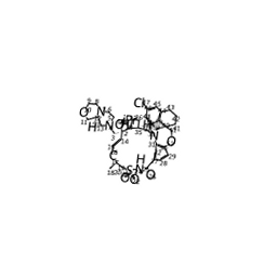 CC(C)O[C@]1(CN2CCN3CCOC[C@@H]3C2)/C=C/C[C@H](C)[C@@H](C)S(=O)(=O)NC(=O)c2ccc3c(c2)N(C[C@@H]2CC[C@H]21)C[C@@]1(CCCc2cc(Cl)ccc21)CO3